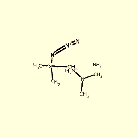 CN(C)N.C[Si](C)(C)N=[N+]=[N-].N